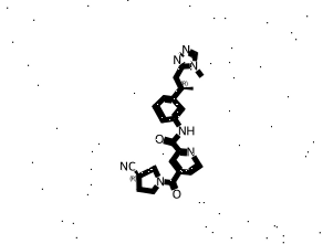 C[C@H](Cc1nncn1C)c1cccc(NC(=O)c2cc(C(=O)N3CC[C@@H](C#N)C3)ccn2)c1